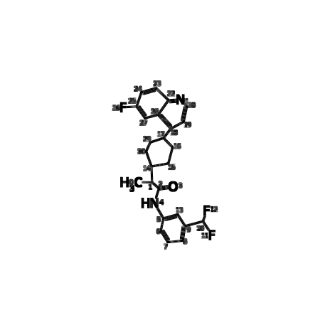 CC(C(=O)Nc1cccc(C(F)F)c1)C1CCC(c2ccnc3ccc(F)cc23)CC1